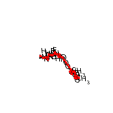 CN1C(=O)CCC(n2c(=O)n(C)c3c(CCCOCCOCCNC(=O)c4ccc(-n5cc(NC(=O)c6coc(-c7ccnc(NCC8CC8)c7)n6)c(C(F)F)n5)cc4)cccc32)C1=O